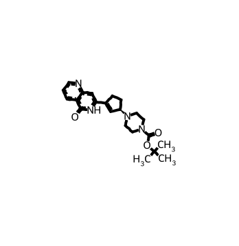 CC(C)(C)OC(=O)N1CCN([C@H]2C=C(c3cc4ncccc4c(=O)[nH]3)CC2)CC1